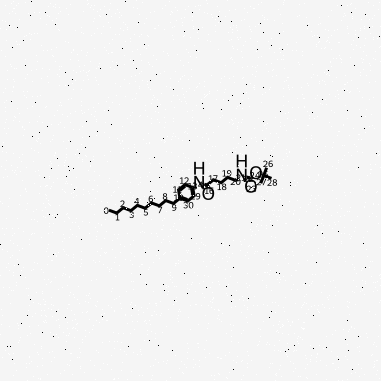 CCCCCCCCCCc1ccc(NC(=O)CCCCNC(=O)OC(C)(C)C)cc1